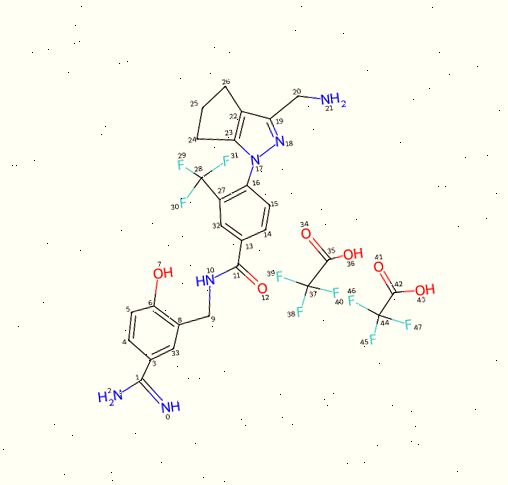 N=C(N)c1ccc(O)c(CNC(=O)c2ccc(-n3nc(CN)c4c3CCC4)c(C(F)(F)F)c2)c1.O=C(O)C(F)(F)F.O=C(O)C(F)(F)F